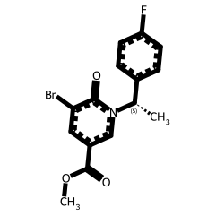 COC(=O)c1cc(Br)c(=O)n([C@@H](C)c2ccc(F)cc2)c1